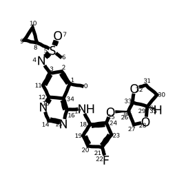 Cc1cc(N=S(C)(=O)C2CC2)cc2ncnc(Nc3ccc(F)cc3O[C@@H]3CO[C@@H]4CCOC43)c12